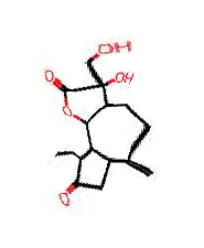 C=C1CCC2C(OC(=O)C2(O)CO)C2C(C)C(=O)CC12